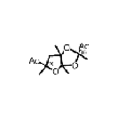 CC(=O)[C@]1(C)OC2(C)C[C@](C)(C(C)=O)OC2(C)O1